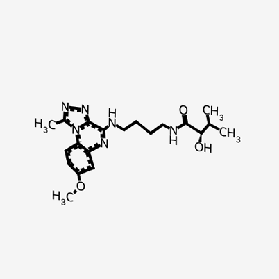 COc1ccc2c(c1)nc(NCCCCNC(=O)[C@H](O)C(C)C)c1nnc(C)n12